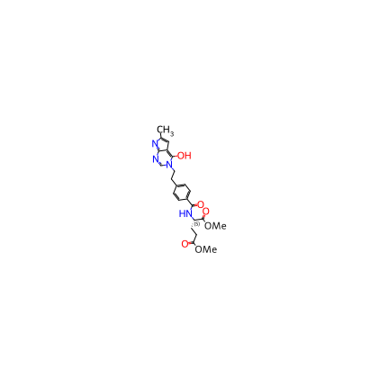 COC(=O)CC[C@H](NC(=O)c1ccc(CCn2cnc3nc(C)cc-3c2O)cc1)C(=O)OC